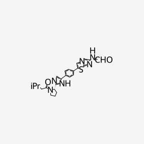 CC(C)CC(=O)N1CCC[C@H]1c1ncc(-c2ccc(-c3cn4cc(NC=O)nc4s3)cc2)[nH]1